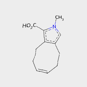 Cn1cc2c(c1C(=O)O)CC/C=C\CC2